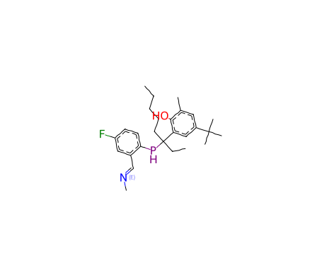 CCCCCC(CC)(Pc1ccc(F)cc1/C=N/C)c1cc(C(C)(C)C)cc(C)c1O